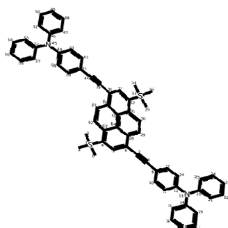 CS(C)(C)c1cc(C#Cc2ccc(N(c3ccccc3)c3ccccc3)cc2)c2ccc3c(S(C)(C)C)cc(C#Cc4ccc(N(c5ccccc5)c5ccccc5)cc4)c4ccc1c2c43